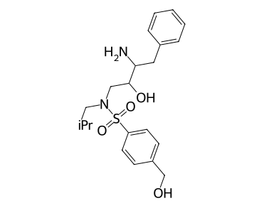 CC(C)CN(CC(O)C(N)Cc1ccccc1)S(=O)(=O)c1ccc(CO)cc1